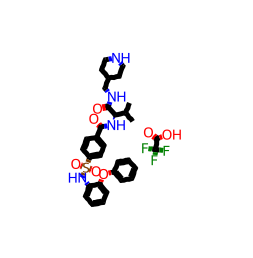 CC(C)[C@H](NC(=O)c1ccc(S(=O)(=O)Nc2ccccc2Oc2ccccc2)cc1)C(=O)NCC1CCNCC1.O=C(O)C(F)(F)F